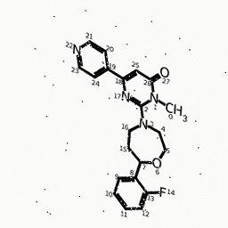 Cn1c(N2CCOC(c3ccccc3F)CC2)nc(-c2ccncc2)cc1=O